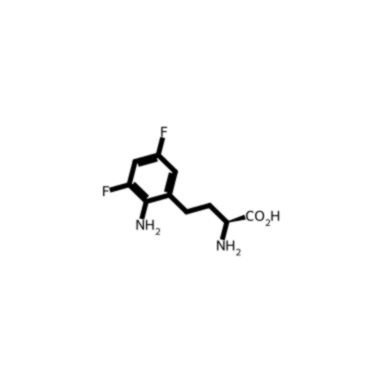 Nc1c(F)cc(F)cc1CC[C@H](N)C(=O)O